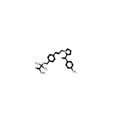 COC(=O)C(C)(C)OCc1ccc(C=CCn2cccc2C(=O)c2ccc(C)cc2)cc1